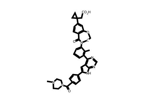 Cc1c(-c2ncnc3[nH]c(-c4ccc(C(=O)N5CCN(C)CC5)cc4)cc23)cccc1N1CCOc2cc(C3(CC(=O)O)CC3)ccc2C1=O